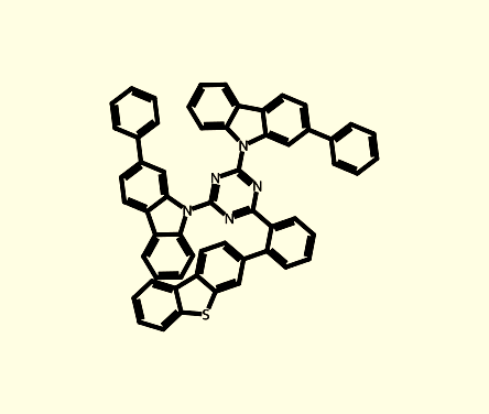 c1ccc(-c2ccc3c4ccccc4n(-c4nc(-c5ccccc5-c5ccc6c(c5)sc5ccccc56)nc(-n5c6ccccc6c6ccc(-c7ccccc7)cc65)n4)c3c2)cc1